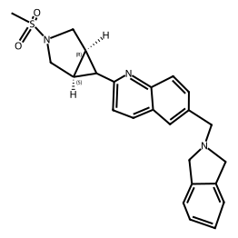 CS(=O)(=O)N1C[C@@H]2C(c3ccc4cc(CN5Cc6ccccc6C5)ccc4n3)[C@@H]2C1